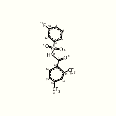 O=C(NS(=O)(=O)c1cccc(F)c1)c1ccc(C(F)(F)F)cc1C(F)(F)F